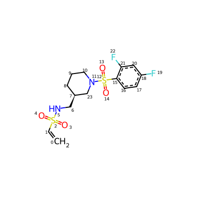 C=CS(=O)(=O)NC[C@H]1CCCN(S(=O)(=O)c2ccc(F)cc2F)C1